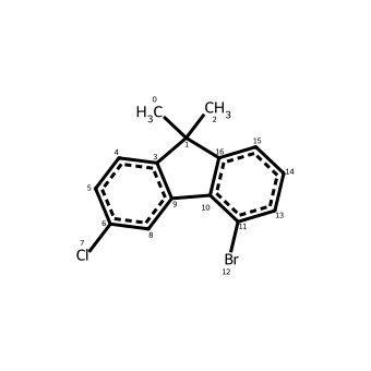 CC1(C)c2ccc(Cl)cc2-c2c(Br)cccc21